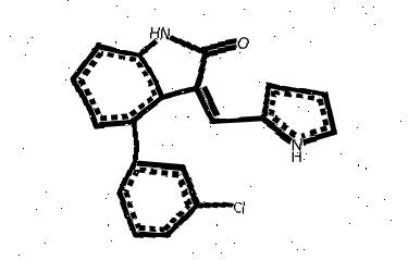 O=C1Nc2cccc(-c3cccc(Cl)c3)c2C1=Cc1ccc[nH]1